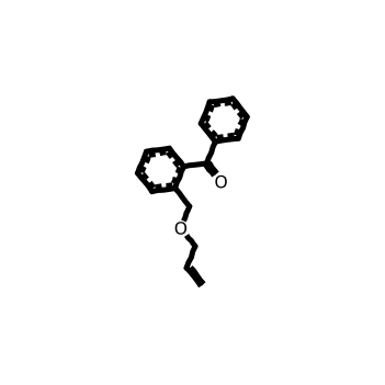 C=CCOCc1ccccc1C(=O)c1ccccc1